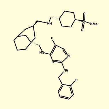 CNS(=O)(=O)[C@H]1CC[C@H](CNC[C@@H]2CC3CCC[C@@](CNc4nc(NCc5ccccc5Cl)ncc4F)(C3)C2)CC1